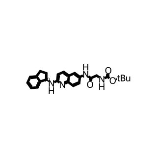 CC(C)(C)OC(=O)NCC(=O)Nc1ccc2nc(N[C@@H]3CCc4ccccc43)ccc2c1